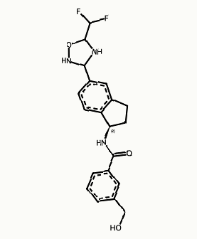 O=C(N[C@@H]1CCc2cc(C3NOC(C(F)F)N3)ccc21)c1cccc(CO)c1